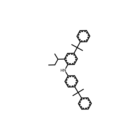 CCC(C)c1cc(C(C)(C)c2ccccc2)ccc1Nc1ccc(C(C)(C)c2ccccc2)cc1